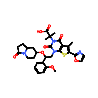 COc1ccccc1C(Cn1c(=O)n(C(C)(C)C(=O)O)c(=O)c2c(C)c(-c3ncco3)sc21)OC1CCN2C(=O)CCC2C1